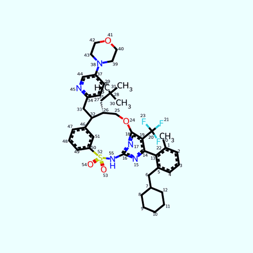 Cc1cccc(CC2CCCCC2)c1-c1nc2nc(c1C(F)(F)F)OC[C@@H](CC(C)(C)C)C(Cc1ccc(N3CCOCC3)cn1)c1cccc(c1)S(=O)(=O)N2